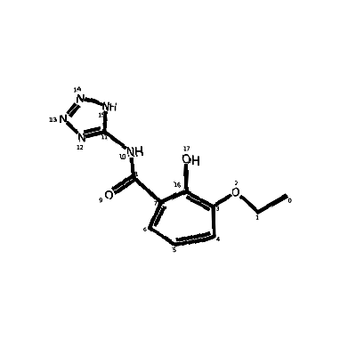 CCOc1cccc(C(=O)Nc2nnn[nH]2)c1O